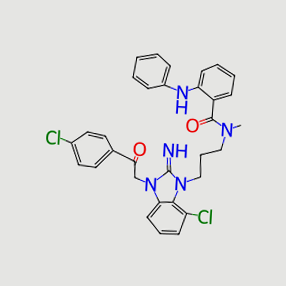 CN(CCCn1c(=N)n(CC(=O)c2ccc(Cl)cc2)c2cccc(Cl)c21)C(=O)c1ccccc1Nc1ccccc1